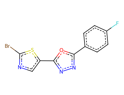 Fc1ccc(-c2nnc(-c3cnc(Br)s3)o2)cc1